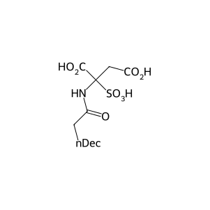 CCCCCCCCCCCC(=O)NC(CC(=O)O)(C(=O)O)S(=O)(=O)O